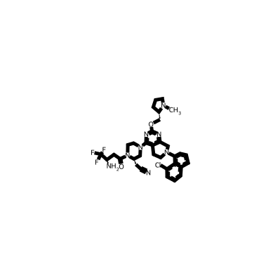 CN1CCC[C@H]1COc1nc2c(c(N3CCN(C(=O)C[C@H](N)C(F)(F)F)[C@@H](CC#N)C3)n1)CCN(c1cccc3cccc(Cl)c13)C2